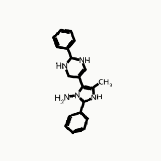 CC1=C(C2=CNC(c3ccccc3)NC2)N(N)C(C2C=CC=CC2)N1